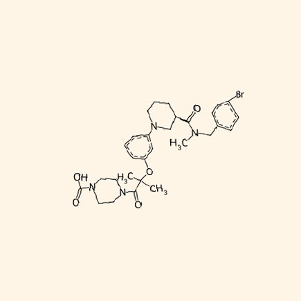 CN(Cc1ccc(Br)cc1)C(=O)[C@@H]1CCCN(c2cccc(OC(C)(C)C(=O)N3CCN(C(=O)O)CC3)c2)C1